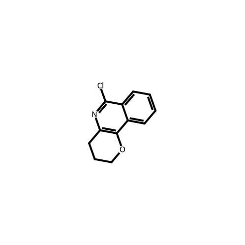 Clc1nc2c(c3ccccc13)OCCC2